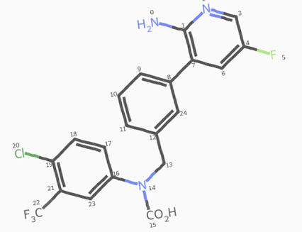 Nc1ncc(F)cc1-c1cccc(CN(C(=O)O)c2ccc(Cl)c(C(F)(F)F)c2)c1